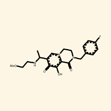 COCCNC(C)c1cn2c(c(O)c1=O)C(=O)N(Cc1ccc(F)cc1)CC2